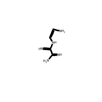 N=C(N)C(=N)N/C=C\N